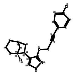 Clc1ccc(C#CCOc2nsnc2[C@@H]2CN3CCC[C@H]2C3)cc1